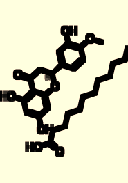 CCCCCCCCCCCC(=O)O.COc1ccc([C@@H]2CC(=O)c3c(O)cc(O)cc3O2)cc1O